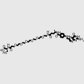 C[C@H](CCC(=O)NCCOCCOCCOCCOCCOCCOCCC(=O)N[C@@H](CS)C(=O)O)NC(=O)c1ccc(NCc2cnc3nc(N)[nH]c(=O)c3n2)cc1